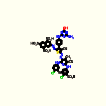 Cc1c(C#N)c(Nc2ccc(Cl)c(S(=O)(=O)O)c2)nc(Nc2ccc(Cl)c(S(=O)(=O)O)c2)c1N=Nc1sc(N=Nc2cc(S(=O)(=O)O)c3cc(S(=O)(=O)O)cc(S(=O)(=O)O)c3c2)c(-c2ccc(Nc3nc(N)nc(O)n3)cc2)c1C#N